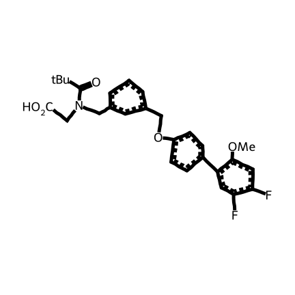 COc1cc(F)c(F)cc1-c1ccc(OCc2cccc(CN(CC(=O)O)C(=O)C(C)(C)C)c2)cc1